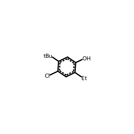 CCc1cc(Cl)c(C(C)(C)C)cc1O